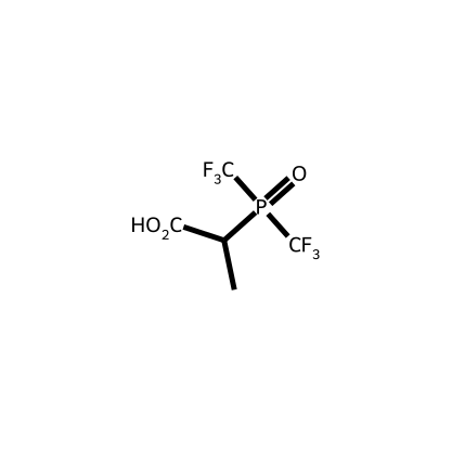 CC(C(=O)O)P(=O)(C(F)(F)F)C(F)(F)F